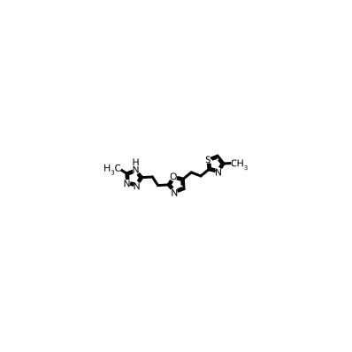 Cc1csc(CCc2cnc(CCc3nnc(C)[nH]3)o2)n1